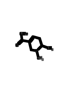 COC(=O)C1=CCC(C)N(C)C1